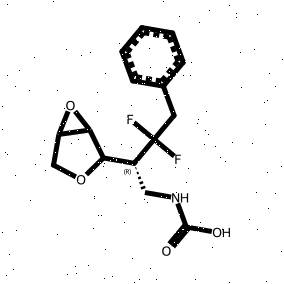 O=C(O)NC[C@H](C1OCC2OC21)C(F)(F)Cc1ccccc1